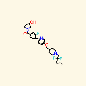 O=C(c1ccc(-c2ccc(OCC3CCN(CC(F)(F)C(F)(F)F)CC3)cn2)c(F)c1)N1CCC(O)C1